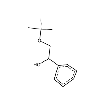 CC(C)(C)OCC(O)c1ccccc1